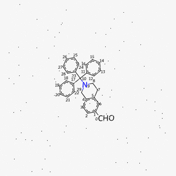 O=Cc1ccc2c(c1)CCN(C(c1ccccc1)(c1ccccc1)c1ccccc1)C2